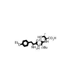 CCOc1ccc(C[C@@H](N)C(=O)N[C@H](C(=O)N[C@H](C(=O)O)[C@@H](C)O)[C@@H](C)CC)cc1